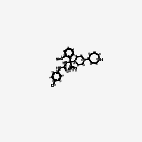 COc1ccccc1C(NC(=O)Nc1ccc(Cl)cc1)(C(N)=O)N1CCN(C2CCCNCC2)CC1